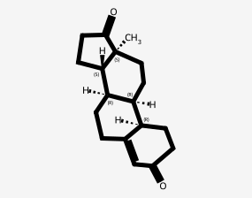 C[C@]12CC[C@@H]3[C@@H](CCC4=CC(=O)CC[C@@H]43)[C@@H]1CCC2=O